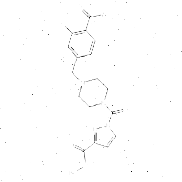 CC(C)(C)OC(=O)c1ccn(C(=O)N2CCN(Cc3ccc(C(N)=O)c(C(F)(F)F)c3)CC2)n1